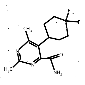 Cc1nc(C)c(C2CCC(F)(F)CC2)c(C(N)=O)n1